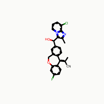 C/C(C#N)=C1\c2ccc(C(O)c3c(C)nc4c(Cl)cccn34)cc2COc2cc(F)ccc21